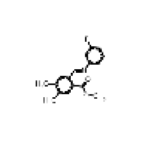 COC(=O)c1cc(C)c(C)cc1C=Nc1cccc(F)c1